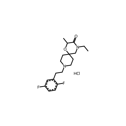 CCN1CC2(CCN(CCc3cc(F)ccc3F)CC2)OC(C)C1=O.Cl